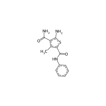 Cc1c(C(=O)Nc2ccccc2)sc(N)c1C(N)=O